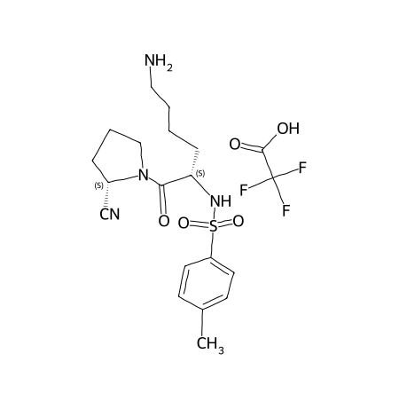 Cc1ccc(S(=O)(=O)N[C@@H](CCCCN)C(=O)N2CCC[C@H]2C#N)cc1.O=C(O)C(F)(F)F